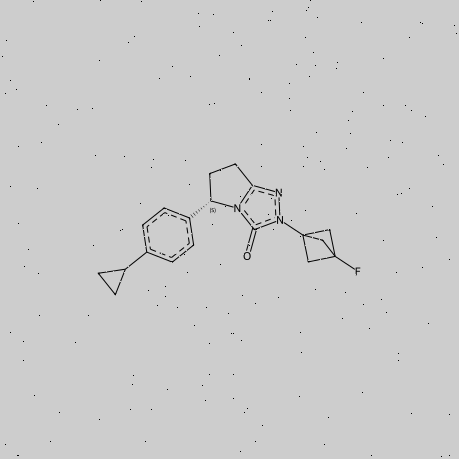 O=c1n(C23CC(F)(C2)C3)nc2n1[C@H](c1ccc(C3CC3)cc1)CC2